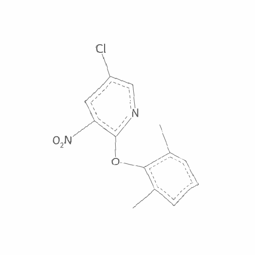 Cc1cccc(C)c1Oc1ncc(Cl)cc1[N+](=O)[O-]